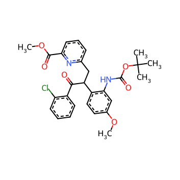 COC(=O)c1cccc(CC(C(=O)c2ccccc2Cl)c2ccc(OC)cc2NC(=O)OC(C)(C)C)n1